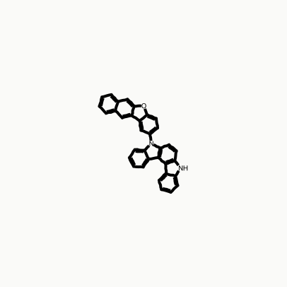 c1ccc2cc3c(cc2c1)oc1ccc(-n2c4ccccc4c4c5c(ccc42)[nH]c2ccccc25)cc13